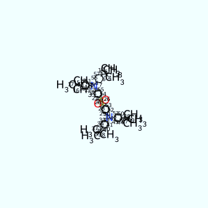 CCC1(C(C)C)CCC(N(c2ccc(C(C)(C)C)cc2)c2ccc(S(=O)(=O)c3ccc(N(c4ccc(C(C)(C)C)cc4)c4ccc(C(C)(C)C)cc4)cc3)cc2)CC1